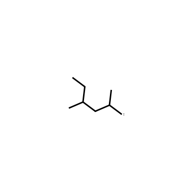 [CH]C(C)CC(C)CC